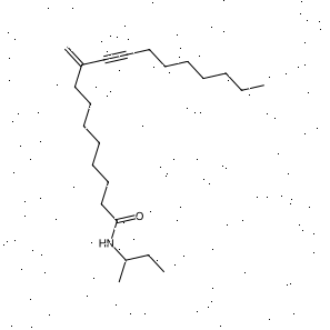 C=C(C#CCCCCCCC)CCCCCCCC(=O)NC(C)CC